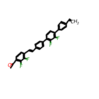 C=Cc1ccc(-c2ccc(-c3ccc(/C=C/c4ccc(C5CO5)c(F)c4F)cc3)c(F)c2F)cc1